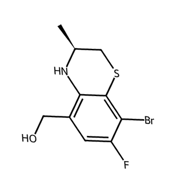 C[C@H]1CSc2c(Br)c(F)cc(CO)c2N1